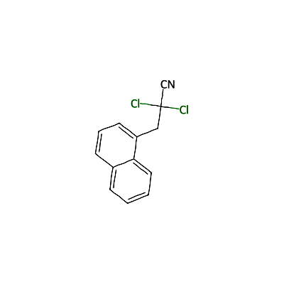 N#CC(Cl)(Cl)Cc1cccc2ccccc12